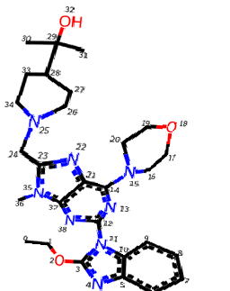 CCOc1nc2ccccc2n1-c1nc(N2CCOCC2)c2nc(CN3CCC(C(C)(C)O)CC3)n(C)c2n1